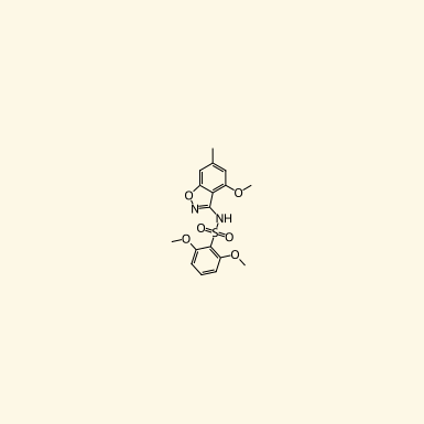 COc1cccc(OC)c1S(=O)(=O)Nc1noc2cc(C)cc(OC)c12